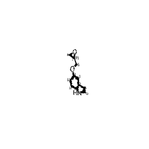 c1cc2cc(OC[C@H]3CO3)ccc2[nH]1